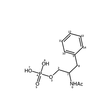 CC(=O)NC(COP(=O)(O)O)Cc1ccccc1